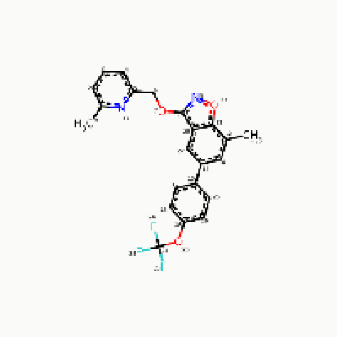 Cc1cccc(COc2noc3c(C)cc(-c4ccc(OC(F)(F)F)cc4)cc23)n1